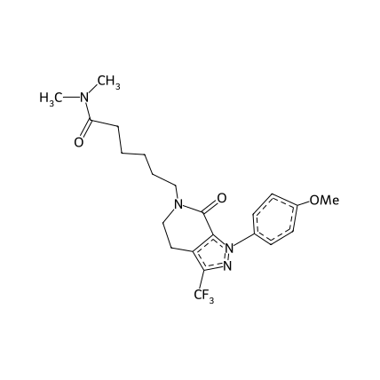 COc1ccc(-n2nc(C(F)(F)F)c3c2C(=O)N(CCCCCC(=O)N(C)C)CC3)cc1